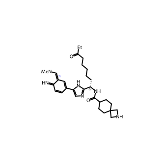 CCC(=O)CCCCC[C@H](NC(=O)C1CCC2(CC1)CNC2)c1ncc(C2=C/C(=C/NC)C(=N)C=C2)[nH]1